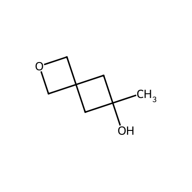 CC1(O)CC2(COC2)C1